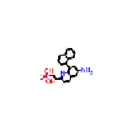 Nc1cc(-c2cccc3ccccc23)c2nc(C=CP(=O)(O)O)ccc2c1